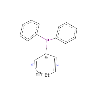 CC/C=C\[C@H](/C=C\CCC)P(c1ccccc1)c1ccccc1